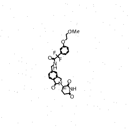 COCCOc1cccc(C(F)(F)C(=O)NCc2ccc3c(c2)CN([C@@H]2CCC(=O)NC2=O)C3=O)c1